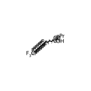 CCCOP(=O)(O)OCCCCCC(F)(F)C(F)(F)C(F)(F)C(F)(F)C(F)(F)C(F)(F)C(F)(F)C(F)(F)F